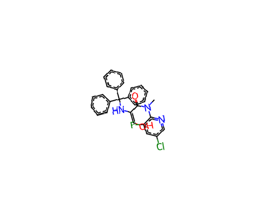 CN(C(=O)C(=CO)NC(c1ccccc1)(c1ccccc1)c1ccccc1)c1ncc(Cl)cc1F